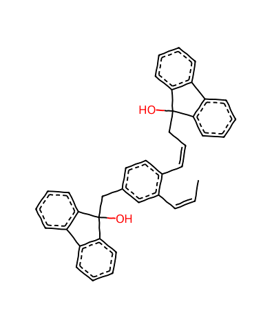 C/C=C\c1cc(CC2(O)c3ccccc3-c3ccccc32)ccc1/C=C\CC1(O)c2ccccc2-c2ccccc21